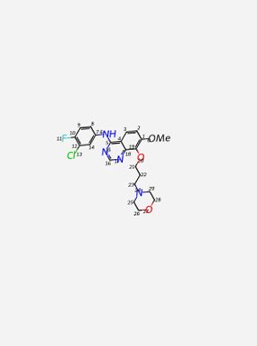 COc1ccc2c(Nc3ccc(F)c(Cl)c3)ncnc2c1OCCCN1CCOCC1